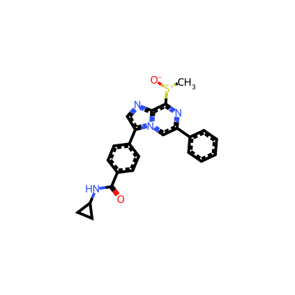 C[S+]([O-])c1nc(-c2ccccc2)cn2c(-c3ccc(C(=O)NC4CC4)cc3)cnc12